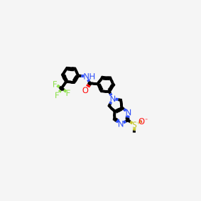 C[S+]([O-])c1ncc2c(n1)CN(c1cccc(C(=O)Nc3cccc(C(F)(F)F)c3)c1)C2